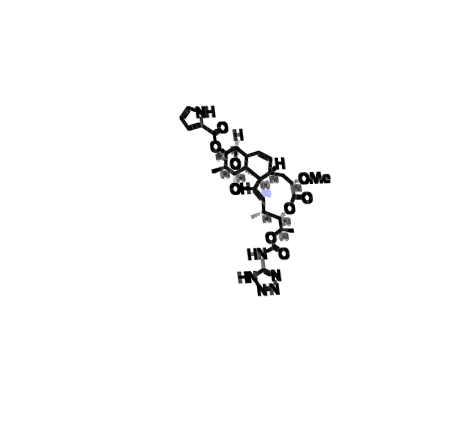 CO[C@H]1C[C@H]2C=CC3C4[C@H](O)[C@@H](C)[C@@H](OC(=O)c5ccc[nH]5)[C@@H]3O[C@]42/C(C)=C/[C@@H](C)[C@@H]([C@@H](C)OC(=O)Nc2nnn[nH]2)OC1=O